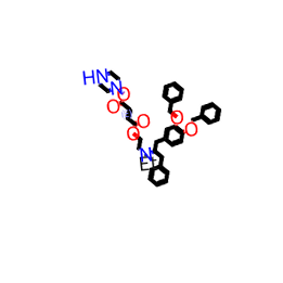 CCN(CCOC(=O)/C=C/C(=O)ON1CCNCC1)C(Cc1ccccc1)Cc1ccc(OCc2ccccc2)c(OCc2ccccc2)c1